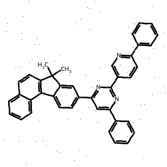 CC1(C)c2cc(-c3cc(-c4ccccc4)nc(-c4ccc(-c5ccccc5)nc4)n3)ccc2-c2c1ccc1ccccc21